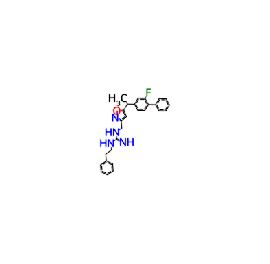 CC(c1ccc(-c2ccccc2)c(F)c1)c1cc(CNC(=N)NCCc2ccccc2)no1